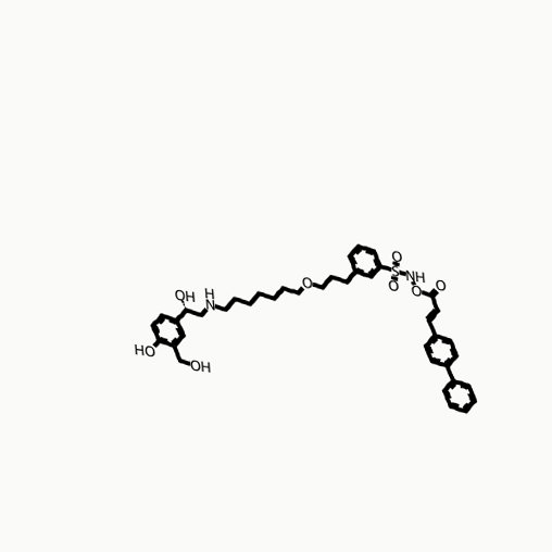 O=C(/C=C/c1ccc(-c2ccccc2)cc1)ONS(=O)(=O)c1cccc(CCCOCCCCCCCNC[C@@H](O)c2ccc(O)c(CO)c2)c1